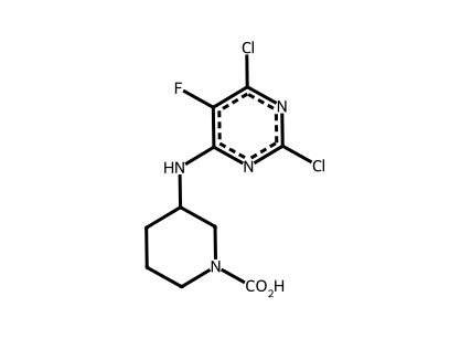 O=C(O)N1CCCC(Nc2nc(Cl)nc(Cl)c2F)C1